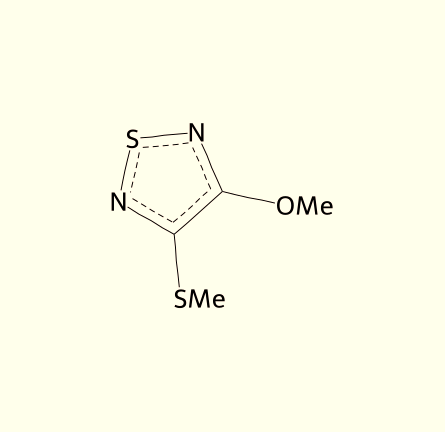 COc1nsnc1SC